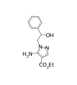 CCOC(=O)c1cnn(CC(O)c2ccccc2)c1N